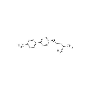 Cc1ccc(-c2ccc(OCCC(C)C)cc2)cc1